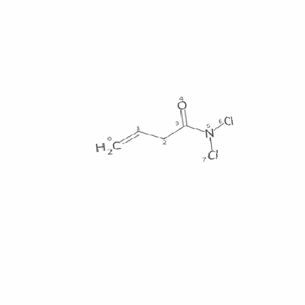 C=CCC(=O)N(Cl)Cl